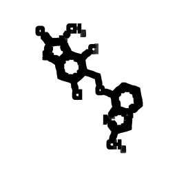 Cc1cn2cccc(OCc3c(Cl)cc4sc(=O)n(C)c4c3Cl)c2n1